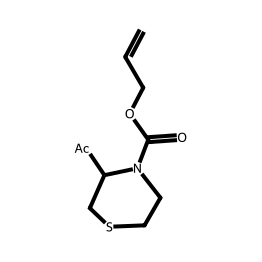 C=CCOC(=O)N1CCSCC1C(C)=O